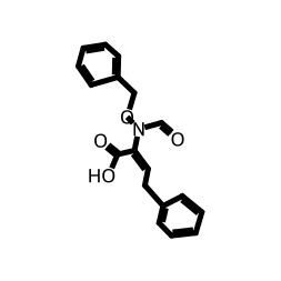 O=CN(OCc1ccccc1)/C(=C/Cc1ccccc1)C(=O)O